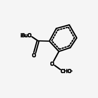 CC(C)COC(=O)c1ccccc1O[C]=O